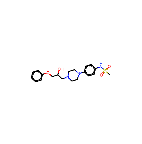 CS(=O)(=O)Nc1ccc(N2CCN(CC(O)COc3ccccc3)CC2)cc1